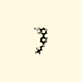 CC1COCC(c2ccc(OCCC(F)(F)F)nn2)N1